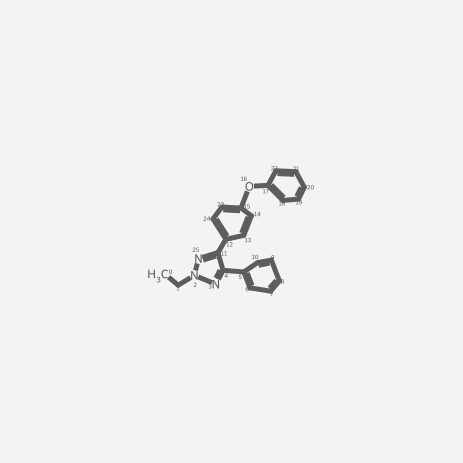 CCn1nc(-c2ccccc2)c(-c2ccc(Oc3ccccc3)cc2)n1